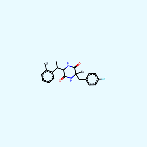 CCC1(Cc2ccc(F)cc2)NC(=O)C(C(C)c2ccccc2C#N)NC1=O